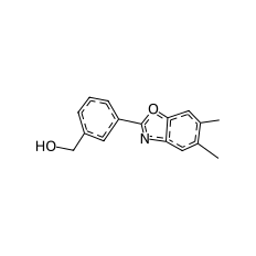 Cc1cc2nc(-c3cccc(CO)c3)oc2cc1C